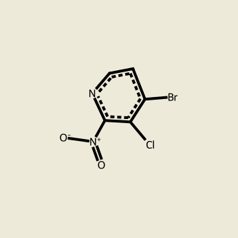 O=[N+]([O-])c1nccc(Br)c1Cl